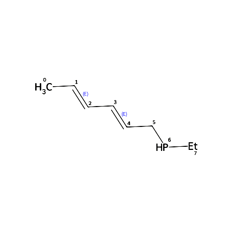 C/C=C/C=C/CPCC